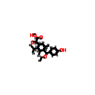 CCOC(c1ccc(O)cc1)c1c(C)cc(C(=O)C(=O)O)c(C(C)C)c1C